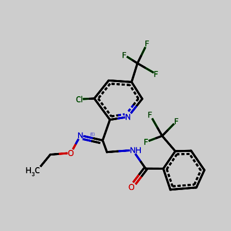 CCO/N=C(\CNC(=O)c1ccccc1C(F)(F)F)c1ncc(C(F)(F)F)cc1Cl